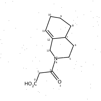 O=C(O)CC(=O)N1CCC2CCCC=C2C1